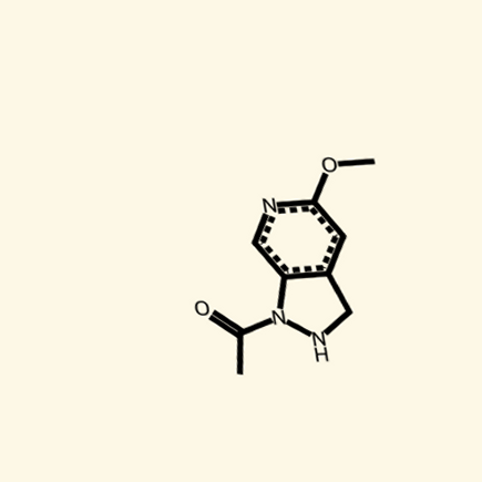 COc1cc2c(cn1)N(C(C)=O)NC2